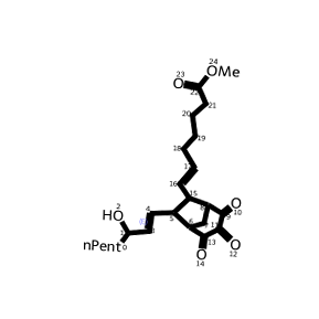 CCCCCC(O)/C=C/C1C2CC(C(=O)C(=O)C2=O)C1C=CCCCCC(=O)OC